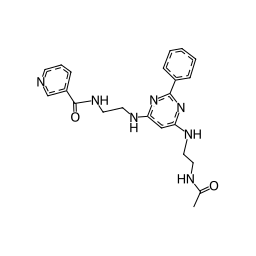 CC(=O)NCCNc1cc(NCCNC(=O)c2cccnc2)nc(-c2ccccc2)n1